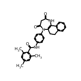 Cc1cc(C)c(C(=O)Nc2ccc(N3C(=O)CC(=O)NC4=C3CCc3ccccc34)cc2)c(C)c1